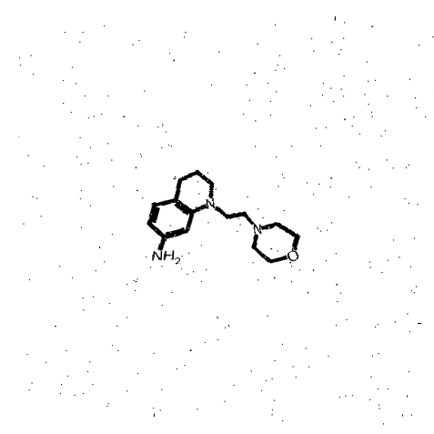 Nc1ccc2c(c1)N(CCN1CCOCC1)CCC2